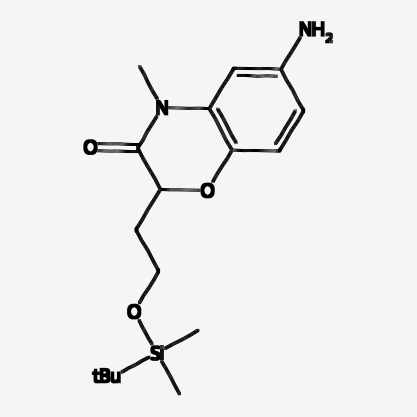 CN1C(=O)C(CCO[Si](C)(C)C(C)(C)C)Oc2ccc(N)cc21